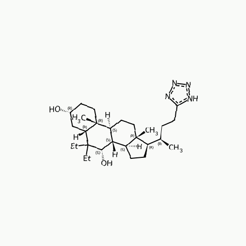 CCC1(CC)[C@@H](O)[C@H]2[C@@H]3CC[C@H]([C@H](C)CCc4nnn[nH]4)[C@@]3(C)CC[C@@H]2[C@@]2(C)CC[C@@H](O)C[C@@H]12